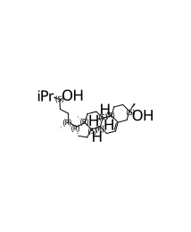 CC(C)[C@@H](O)CC[C@@H](C)[C@H]1CC[C@H]2[C@@H]3CC=C4C[C@@](C)(O)CC[C@@H]4[C@H]3CC[C@]12C